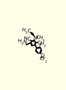 CC#CN(C)c1c(C)c(-c2ccc(OC(F)(F)F)cc2F)cc(CN)c1C#N